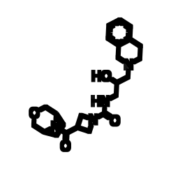 O=C(NCC(O)CN1CCc2ccccc2C1)N1CC(C(=O)N2C3CCC2COC3)C1